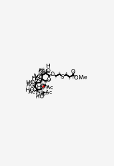 COC(=O)CCSCCO[C@H]1O[C@H](C(O)C(C)=O)[C@@](O)([C@@H]2O[C@H](C(O)C(C)=O)[C@@](O)(C(C)=O)[C@@](O)(C(C)=O)[C@]2(O)C(C)=O)[C@@](O)(C(C)=O)[C@]1(O)C(C)=O